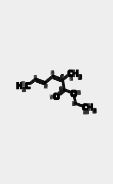 CC=CC=C(C)C(=O)OCC